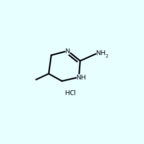 CC1CN=C(N)NC1.Cl